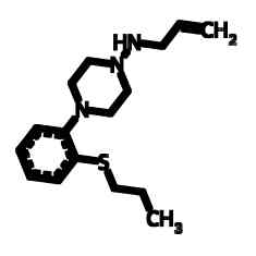 C=CCNN1CCN(c2ccccc2SCCC)CC1